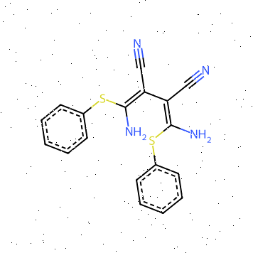 N#CC(=C(N)Sc1ccccc1)C(C#N)=C(N)Sc1ccccc1